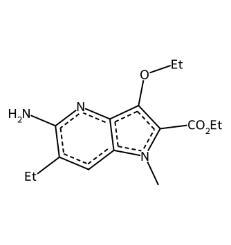 CCOC(=O)c1c(OCC)c2nc(N)c(CC)cc2n1C